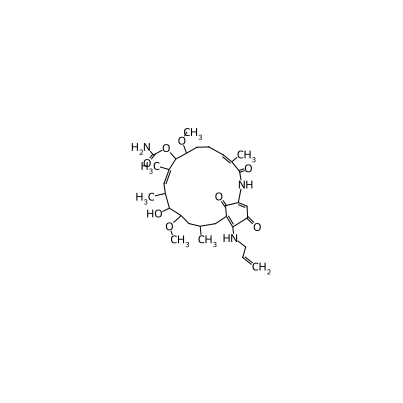 C=CCNC1=C2CC(C)CC(OC)C(O)C(C)/C=C(/C)C(OC(N)=O)C(OC)CC/C=C(/C)C(=O)NC(=CC1=O)C2=O